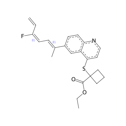 C=C/C(F)=C\C=C(/C)c1ccc2nccc(SC3(C(=O)OCC)CCC3)c2c1